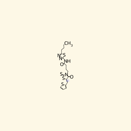 CCCCc1nnc(NC(=O)CCCN2C(=O)/C(=C/c3cccs3)SC2=S)s1